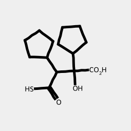 O=C(S)C(C1CCCC1)C(O)(C(=O)O)C1CCCC1